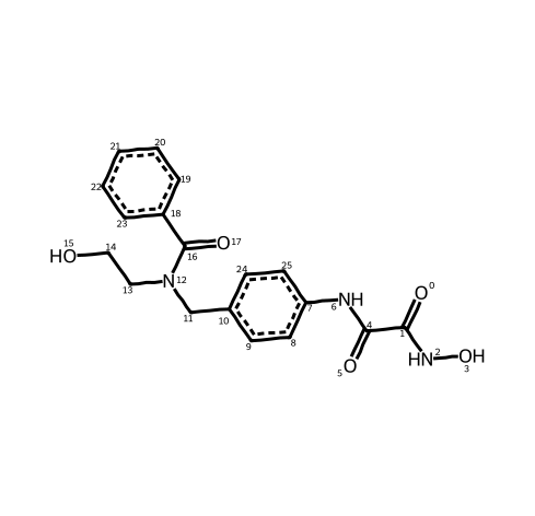 O=C(NO)C(=O)Nc1ccc(CN(CCO)C(=O)c2ccccc2)cc1